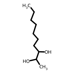 CCCCCCCC(O)C(C)O